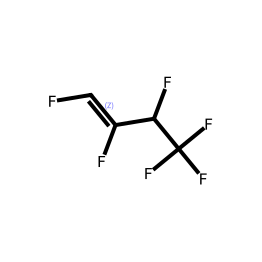 F/C=C(\F)C(F)C(F)(F)F